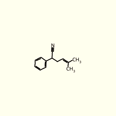 CC(C)=CCC(C#N)c1ccccc1